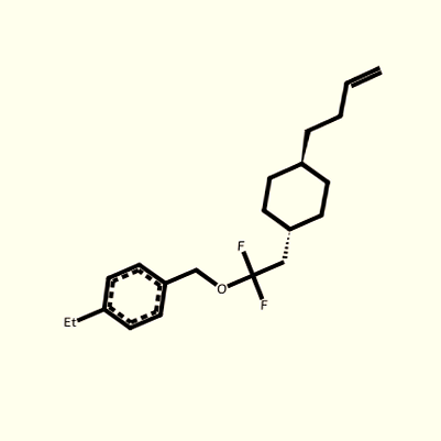 C=CCC[C@H]1CC[C@H](CC(F)(F)OCc2ccc(CC)cc2)CC1